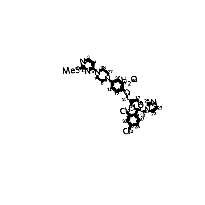 CSc1nccc(N2CCN(c3ccc(OC[C@@H]4CO[C@@](Cn5ccnc5)(c5ccc(Cl)cc5Cl)O4)cc3)CC2)n1.O